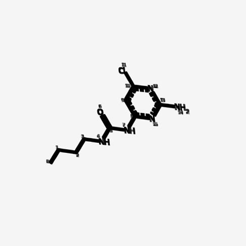 CCCCNC(=O)Nc1cc(Cl)nc(N)n1